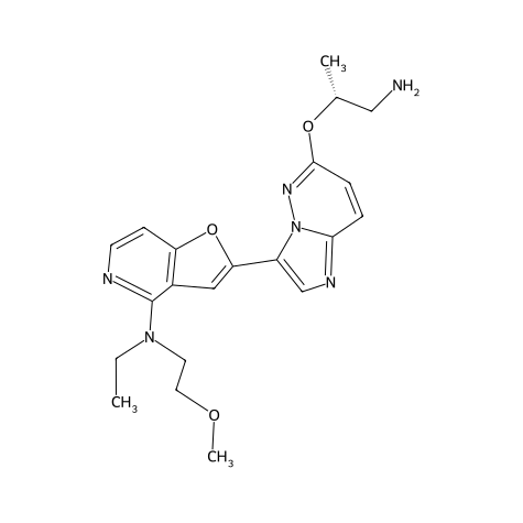 CCN(CCOC)c1nccc2oc(-c3cnc4ccc(O[C@H](C)CN)nn34)cc12